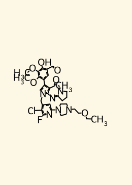 CCOCCN1CCN(c2cc(Cn3cc(-c4cc(C=O)c(O)c(OC)c4OC)c(C=O)c3/N=C3/CCCN3C)c(Cl)c(F)n2)CC1